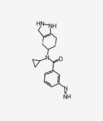 N=Nc1cccc(C(=O)N(C2CC2)C2CCC3=C(CNN3)C2)c1